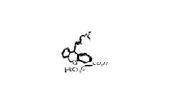 CN(C)CCC=C1c2ccccc2COc2ccccc21.O=C(O)C=CC(=O)O